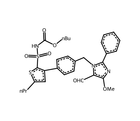 CCCCOC(=O)NS(=O)(=O)c1sc(CCC)cc1-c1ccc(Cn2c(-c3ccccc3)nc(OC)c2C=O)cc1